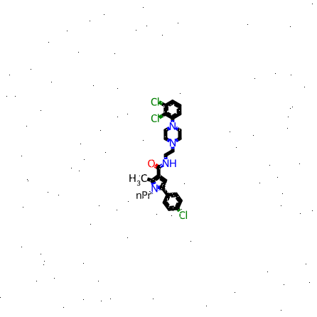 CCCn1c(-c2ccc(Cl)cc2)cc(C(=O)NCCN2CCN(c3cccc(Cl)c3Cl)CC2)c1C